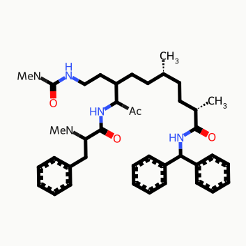 CNC(=O)NCCC(CC[C@H](C)CC[C@H](C)C(=O)NC(c1ccccc1)c1ccccc1)C(NC(=O)C(Cc1ccccc1)NC)C(C)=O